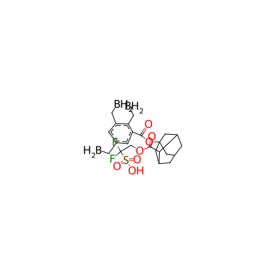 BCc1cc(CB)c(CB)c(C(=O)OC23CC4CC(C2)C(C(=O)OCC(F)(F)S(=O)(=O)O)C(C4)C3)c1